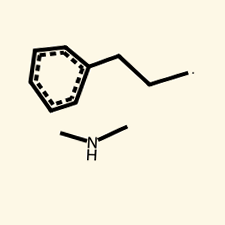 CNC.[CH2]CCc1ccccc1